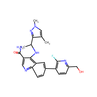 Cc1cn(C)nc1C(C)Nc1c(C(N)=O)cnc2ccc(-c3ccc(CO)nc3F)cc12